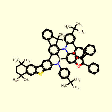 CC(C)(C)c1ccc(N2B3c4cc5oc(-c6ccccc6)c(-c6ccccc6)c5cc4N(c4ccc(C(C)(C)C)cc4-c4ccccc4)c4c3c(cc3c4C(C)(C)c4ccccc4-3)-c3cc4c(cc32)sc2cc3c(cc24)C(C)(C)CCC3(C)C)cc1